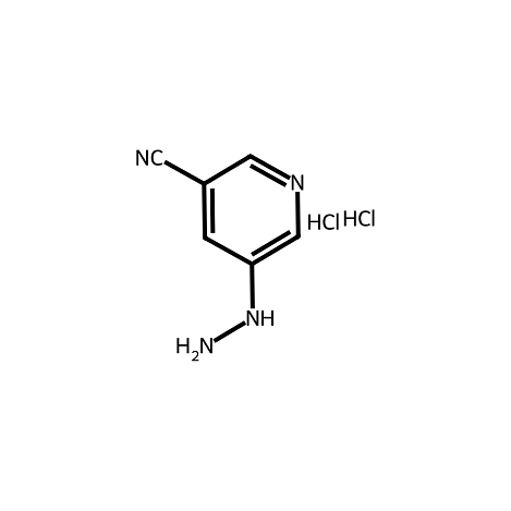 Cl.Cl.N#Cc1cncc(NN)c1